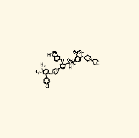 CC1(C)CCC(CN2CCN(c3ccc(C(=O)NS(=O)(=O)c4ccc(NC5CCN(C6CCOCC6)CC5)c([N+](=O)[O-])c4)c(Oc4ccc5[nH]ccc5c4)c3)CC2)=C(c2ccc(Cl)cc2)C1